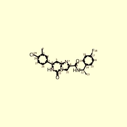 Cc1cc(-c2cc3nc(C(=O)N[C@H](C)c4ccc(F)cc4)cn3c(=O)[nH]2)ccc1Cl